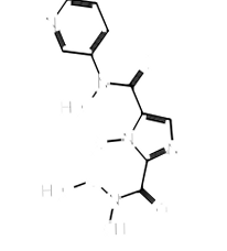 CON(C)C(=O)c1ncc(C(=O)N(C)c2cccnc2)n1C